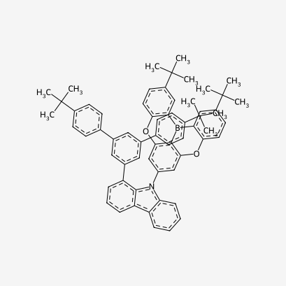 CC(C)(C)c1ccc(-c2cc(-c3ccc(C(C)(C)C)cc3)cc(-c3cccc4c5ccccc5n(-c5cc6c7c(c5)Oc5ccc(C(C)(C)C)cc5B7c5cc(C(C)(C)C)ccc5O6)c34)c2)cc1